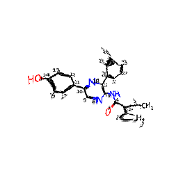 CCC(C)C(=O)Nc1ncc(-c2ccc(O)cc2)nc1-c1ccccc1